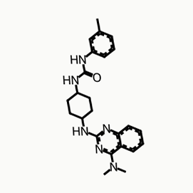 Cc1cccc(NC(=O)NC2CCC(Nc3nc(N(C)C)c4ccccc4n3)CC2)c1